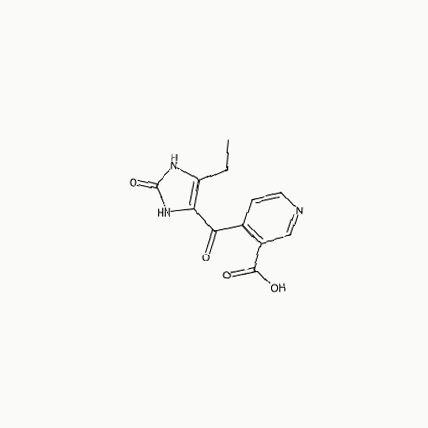 CCc1[nH]c(=O)[nH]c1C(=O)c1ccncc1C(=O)O